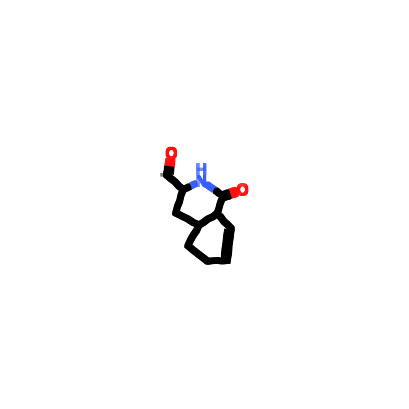 O=[C]C1CC2CCC=CC2C(=O)N1